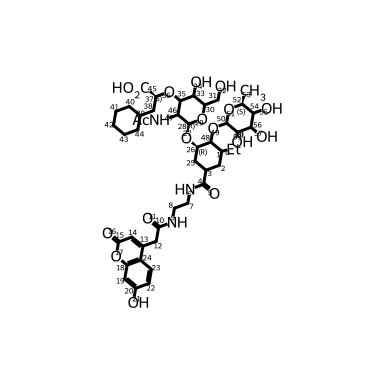 CCC1CC(C(=O)NCCNC(=O)Cc2cc(=O)oc3cc(O)ccc23)C[C@@H](O[C@@H]2OC(CO)C(O)C(O[C@@H](CC3CCCCC3)C(=O)O)C2NC(C)=O)C1OC1O[C@@H](C)C(O)C(O)[C@@H]1O